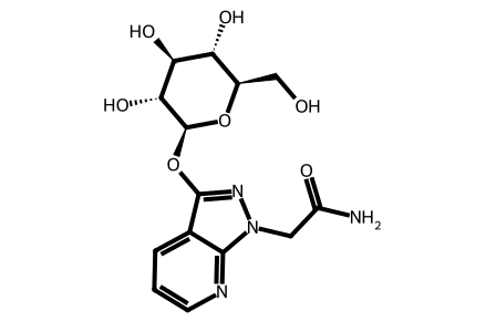 NC(=O)Cn1nc(O[C@@H]2O[C@H](CO)[C@@H](O)[C@H](O)[C@H]2O)c2cccnc21